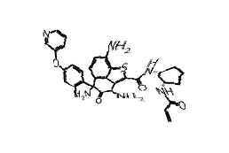 C=CC(=O)N[C@H]1CCC[C@H]1NC(=O)c1sc2c(N)ccc3c2c1C(N)C(=O)C3(N)c1ccc(Oc2cccnc2)cc1C